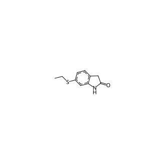 CCSc1ccc2c(c1)NC(=O)C2